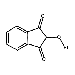 CCOC1C(=O)c2ccccc2C1=O